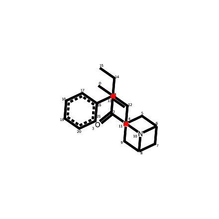 CCC(=O)N1CC2CC(C1)N2CC=C(CC)c1ccccc1